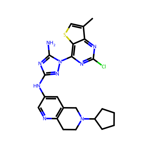 Cc1csc2c(-n3nc(Nc4cnc5c(c4)CN(C4CCCC4)CC5)nc3N)nc(Cl)nc12